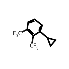 FC(F)(F)c1cccc(C2CC2)c1C(F)(F)F